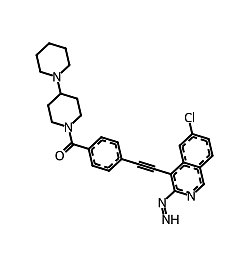 N=Nc1ncc2ccc(Cl)cc2c1C#Cc1ccc(C(=O)N2CCC(N3CCCCC3)CC2)cc1